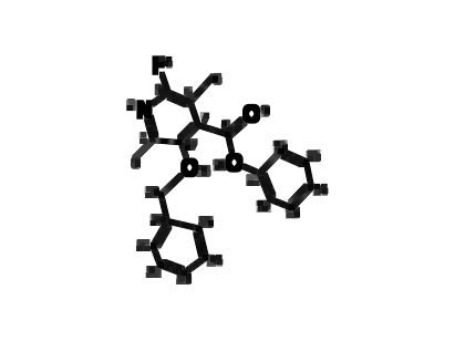 Cc1nc(F)c(C)c(C(=O)Oc2ccccc2)c1OCc1ccccc1